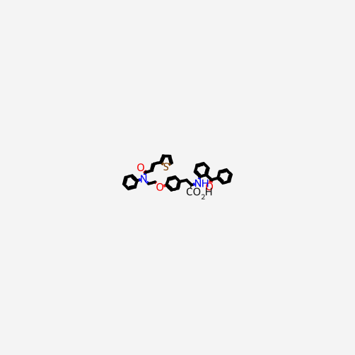 O=C(c1ccccc1)c1ccccc1N[C@@H](Cc1ccc(OCCN(C(=O)C=Cc2cccs2)c2ccccc2)cc1)C(=O)O